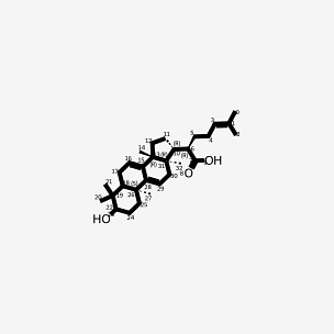 CC(C)=CCC[C@@H](C(=O)O)[C@H]1CC[C@@]2(C)C3=CCC4C(C)(C)C(O)CC[C@]4(C)C3=CC[C@]12C